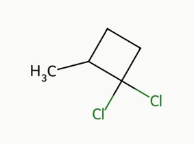 CC1CCC1(Cl)Cl